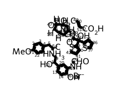 COc1ccc(C[C@@H](C)NC[C@H](O)c2ccc(O)c(NC=O)c2)cc1.C[N+]1(C)[C@@H]2C[C@@H](OC(=O)C(O)(c3cccs3)c3cccs3)C[C@H]1[C@@H]1O[C@@H]12.O=C(O)/C=C/C(=O)O.[Br-]